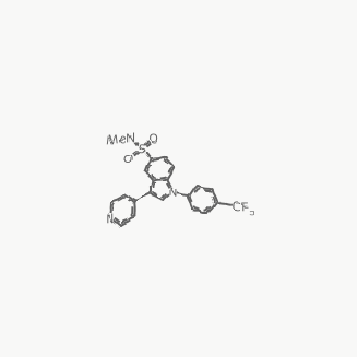 CNS(=O)(=O)c1ccc2c(c1)c(-c1ccncc1)cn2-c1ccc(C(F)(F)F)cc1